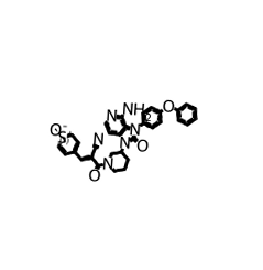 N#CC(=CC1=CC[S@@+]([O-])C=C1)C(=O)N1CCCC(n2c(=O)n(-c3ccc(Oc4ccccc4)cc3)c3c(N)nccc32)C1